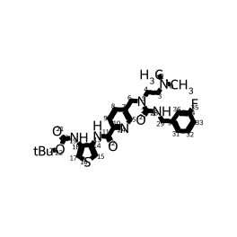 CN(C)CCN(Cc1ccc(C(=O)Nc2cscc2NC(=O)OC(C)(C)C)nc1)C(=O)NCc1cccc(F)c1